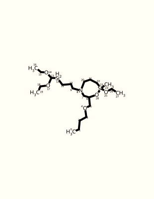 CCCCOCC1CN(CCC[SiH2]C(OCC)OCC)CCC[Si](C)(OCC)O1